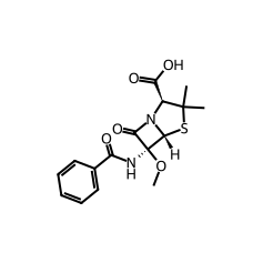 CO[C@@]1(NC(=O)c2ccccc2)C(=O)N2[C@@H](C(=O)O)C(C)(C)S[C@@H]21